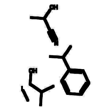 CC(C)CO.CC(C)c1ccccc1.CC(O)C#N.CI